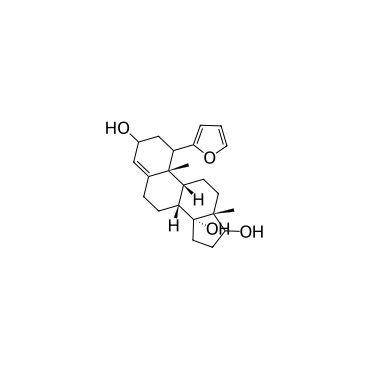 C[C@@]12C(=CC(O)CC1c1ccco1)CC[C@@H]1[C@H]2CC[C@]2(C)C(O)CC[C@@]12O